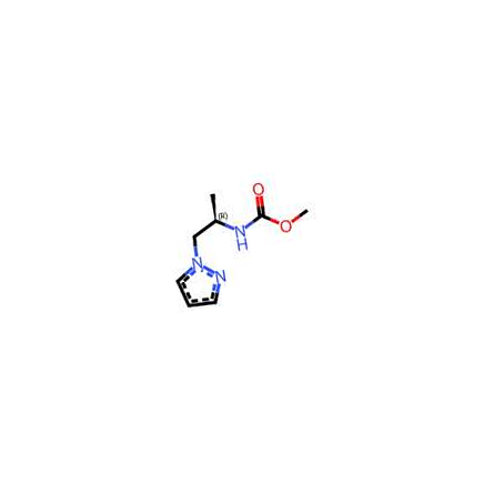 COC(=O)N[C@H](C)Cn1cccn1